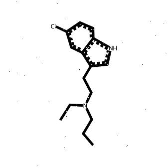 CCCN(CC)CCc1c[nH]c2ccc(Cl)cc12